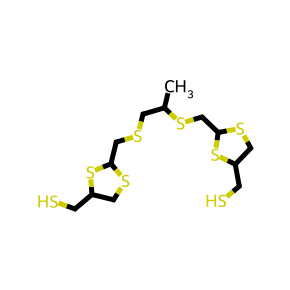 CC(CSCC1SCC(CS)S1)SCC1SCC(CS)S1